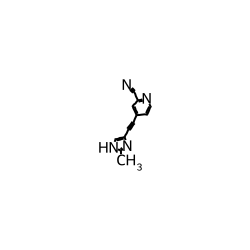 Cc1nc(C#Cc2ccnc(C#N)c2)c[nH]1